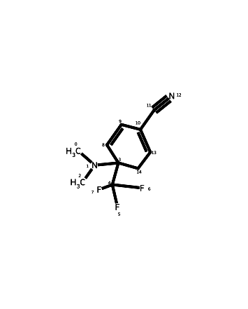 CN(C)C1(C(F)(F)F)C=CC(C#N)=CC1